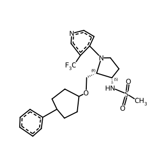 CS(=O)(=O)N[C@H]1CCN(c2ccncc2C(F)(F)F)[C@H]1COC1CCC(c2ccccc2)CC1